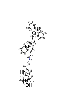 CCC(C)(CC(C/C=C/CCCC(=O)NC1CC(C)(C)N(O)C(C)(C)C1)c1ccccc1)C(=O)OCCOP(=O)(c1ccccc1)c1ccccc1